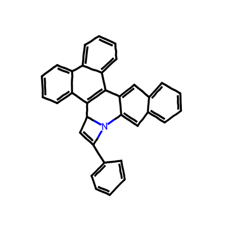 C1=C(c2ccccc2)N2c3cc4ccccc4cc3-c3c(c4ccccc4c4ccccc34)C12